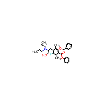 C=CCN(CCC)C(CO)Cc1c(C)c(OCc2ccccc2)c(C(=O)Oc2ccccc2)c(C)c1F